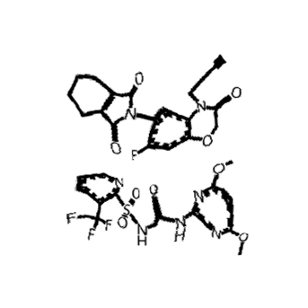 C#CCN1C(=O)COc2cc(F)c(N3C(=O)C4=C(CCCC4)C3=O)cc21.COc1cc(OC)nc(NC(=O)NS(=O)(=O)c2ncccc2C(F)(F)F)n1